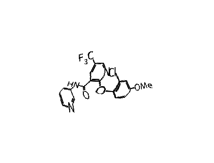 COc1ccc(Oc2ncc(C(F)(F)F)cc2C(=O)Nc2cccnc2)c(Cl)c1